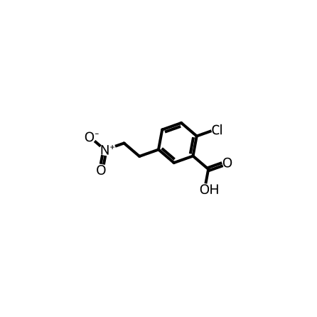 O=C(O)c1cc(CC[N+](=O)[O-])ccc1Cl